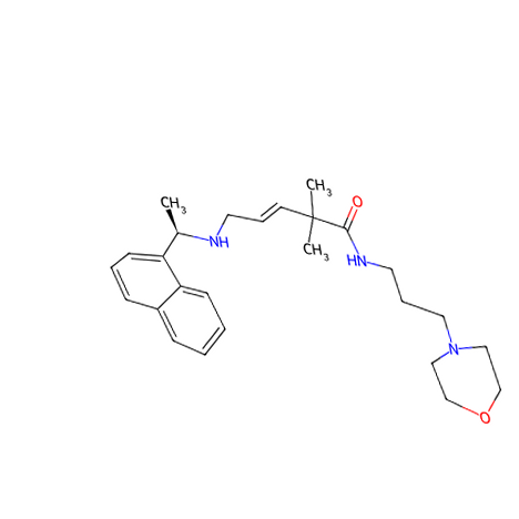 C[C@@H](NC/C=C/C(C)(C)C(=O)NCCCN1CCOCC1)c1cccc2ccccc12